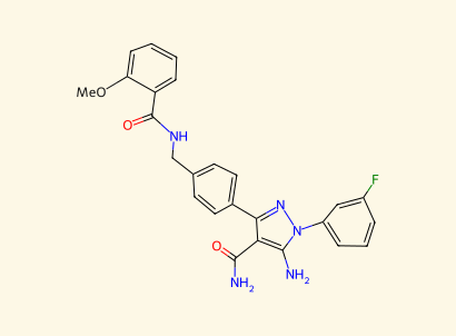 COc1ccccc1C(=O)NCc1ccc(-c2nn(-c3cccc(F)c3)c(N)c2C(N)=O)cc1